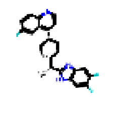 Fc1ccc2nccc([C@H]3CC[C@@H]([C@H](c4nc5cc(F)c(F)cc5[nH]4)C(F)(F)F)CC3)c2c1